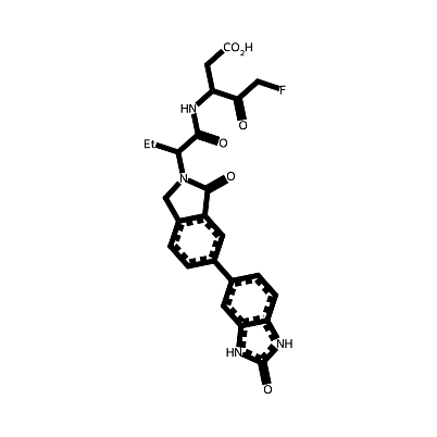 CCC(C(=O)NC(CC(=O)O)C(=O)CF)N1Cc2ccc(-c3ccc4[nH]c(=O)[nH]c4c3)cc2C1=O